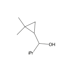 CC(C)C(O)C1CC1(C)C